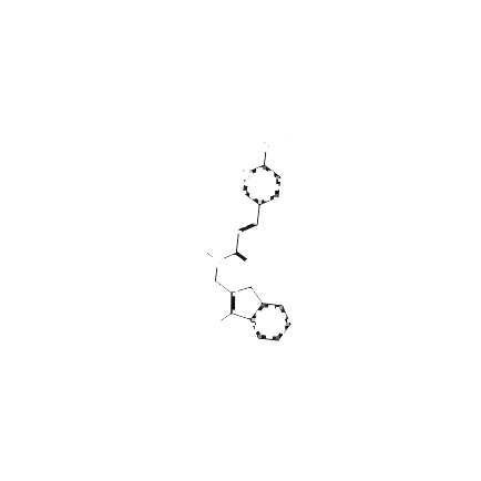 CC(=O)Nc1ccc(/C=C/C(=O)N(C)CC2=C(C)c3ccccc3C2)cn1